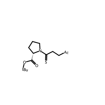 CC(=O)CCC(=S)N1CCC[C@H]1C(=O)OC(C)(C)C